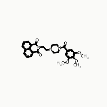 COc1cc(C(=O)N2CCN(CCN3C(=O)c4cccc5cccc(c45)C3=O)CC2)cc(OC)c1OC